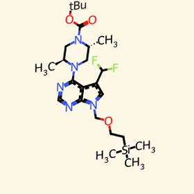 C[C@@H]1CN(c2ncnc3c2c(C(F)F)cn3COCC[Si](C)(C)C)[C@@H](C)CN1C(=O)OC(C)(C)C